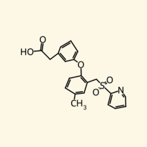 Cc1ccc(Oc2cccc(CC(=O)O)c2)c(CS(=O)(=O)c2ccccn2)c1